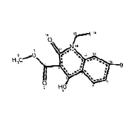 COC(=O)c1c(O)c2ccc(Br)cc2n(CI)c1=O